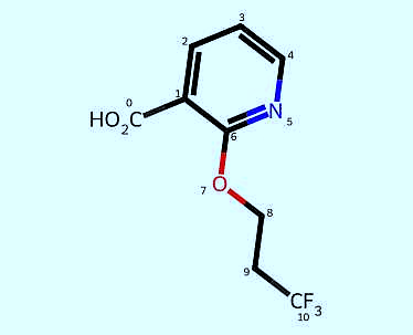 O=C(O)c1cccnc1OCCC(F)(F)F